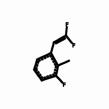 Cc1c(F)cccc1C=C(F)F